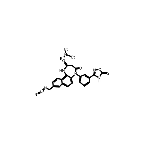 CCN(CC)CC.[N-]=[N+]=NCc1ccc2c3c(ccc2c1)N(c1cccc(-c2noc(=S)[nH]2)c1)C(=O)CC(=O)N3